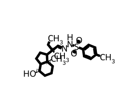 CC[C@](C)(C=NNS(=O)(=O)c1ccc(C)cc1)C1CCC2[C@@H](O)CCC[C@@]21C